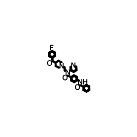 O=C(Nc1ccc(C(=O)N(CCN2CCC(C(=O)c3ccc(F)cc3)CC2)c2cccnc2)cc1)c1ccccc1